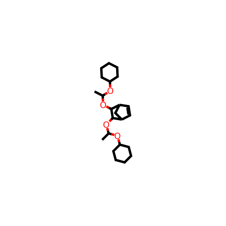 CC(OC1CCCCC1)OC1C2C=CC(C2)C1OC(C)OC1CCCCC1